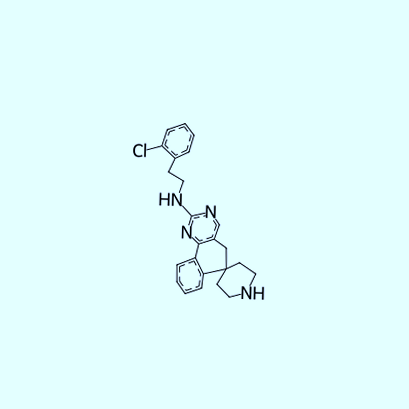 Clc1ccccc1CCNc1ncc2c(n1)-c1ccccc1C1(CCNCC1)C2